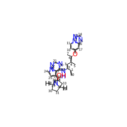 C=C/C(=C\C(C)=C(/C)Oc1ccn2ncnc2c1)Nc1ncnn2ccc(CN3[C@@H]4CC[C@H]3C[C@H](O)C4)c12